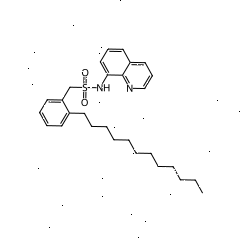 CCCCCCCCCCCCc1ccccc1CS(=O)(=O)Nc1cccc2cccnc12